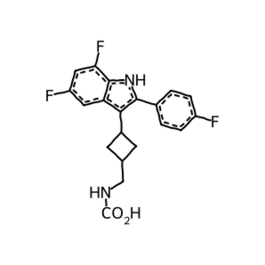 O=C(O)NCC1CC(c2c(-c3ccc(F)cc3)[nH]c3c(F)cc(F)cc23)C1